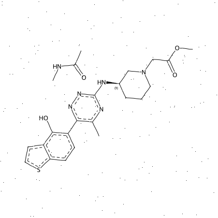 CNC(C)=O.COC(=O)CN1CCC[C@@H](Nc2nnc(-c3ccc4sccc4c3O)c(C)n2)C1